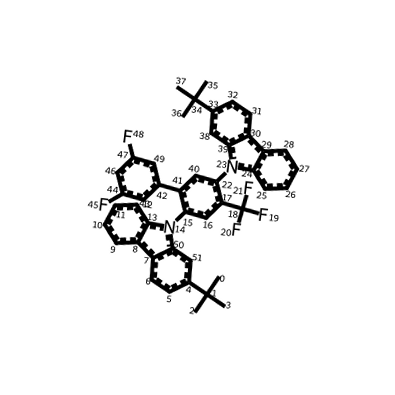 CC(C)(C)c1ccc2c3ccccc3n(-c3cc(C(F)(F)F)c(-n4c5ccccc5c5ccc(C(C)(C)C)cc54)cc3-c3cc(F)cc(F)c3)c2c1